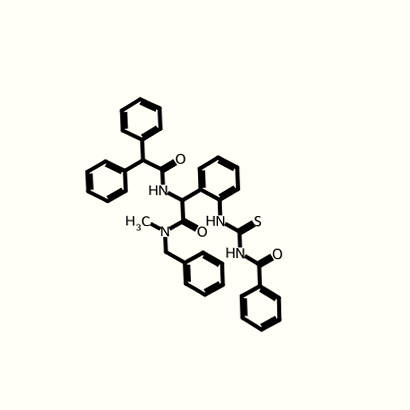 CN(Cc1ccccc1)C(=O)C(NC(=O)C(c1ccccc1)c1ccccc1)c1ccccc1NC(=S)NC(=O)c1ccccc1